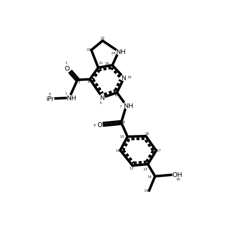 CC(C)NC(=O)c1nc(NC(=O)c2ccc(C(C)O)cc2)nc2c1CCN2